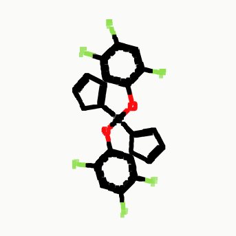 Fc1cc(F)c([O][Zr]([O]c2cc(F)c(F)cc2F)([C]2=CC=CC2)[C]2=CC=CC2)cc1F